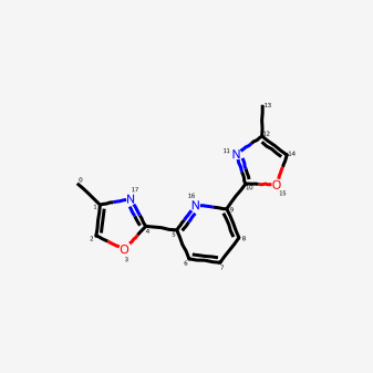 Cc1coc(-c2cccc(-c3nc(C)co3)n2)n1